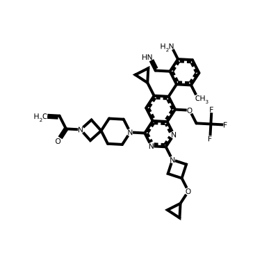 C=CC(=O)N1CC2(CCN(c3nc(N4CC(OC5CC5)C4)nc4c(OCC(F)(F)F)c(-c5c(C)ccc(N)c5C=N)c(C5CC5)cc34)CC2)C1